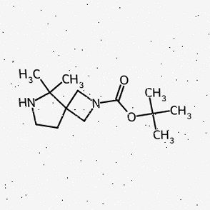 CC(C)(C)OC(=O)N1CC2(CCNC2(C)C)C1